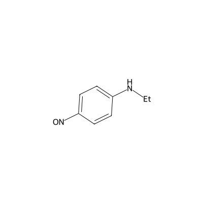 CCNc1ccc(N=O)cc1